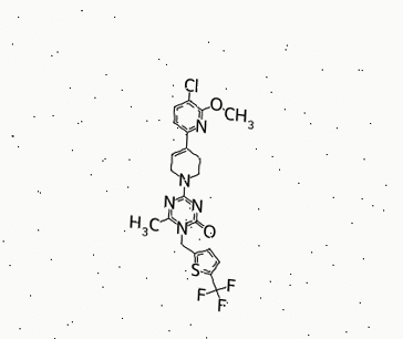 COc1nc(C2=CCN(c3nc(C)n(Cc4ccc(C(F)(F)F)s4)c(=O)n3)CC2)ccc1Cl